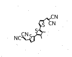 Cc1c(-c2ccc(C=C(C#N)C#N)s2)sc(-c2ccc(C=C(C#N)C#N)s2)c1C